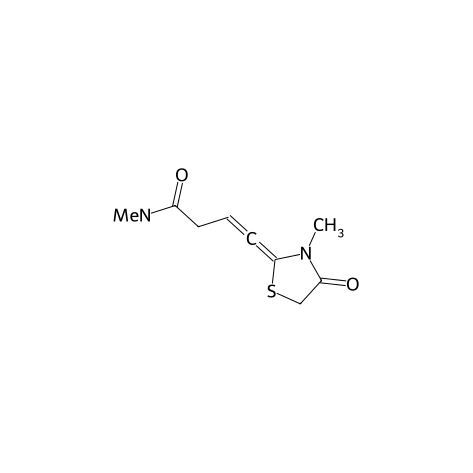 CNC(=O)CC=C=C1SCC(=O)N1C